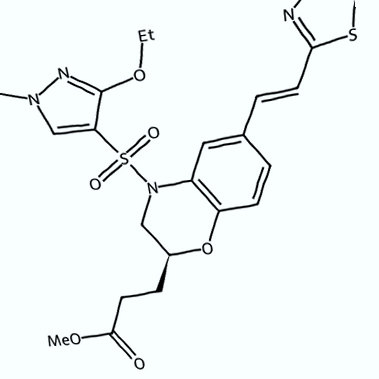 CCOc1nn(CC)cc1S(=O)(=O)N1C[C@H](CCC(=O)OC)Oc2ccc(/C=C/c3nccs3)cc21